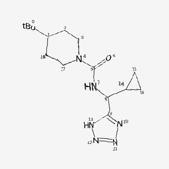 CC(C)(C)C1CCN(C(=O)NC(c2nnn[nH]2)C2CC2)CC1